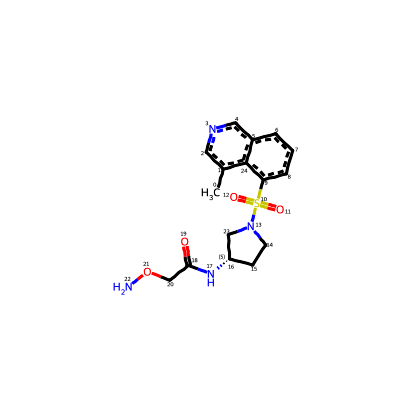 Cc1cncc2cccc(S(=O)(=O)N3CC[C@H](NC(=O)CON)C3)c12